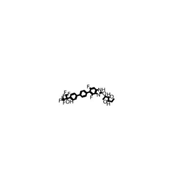 OC(c1ccc(-c2ccc(-c3c(F)cc4[nH]c(OC5CO[C@@H]6CCO[C@H]56)nc4c3F)cc2)cc1)(C(F)(F)F)C(F)(F)F